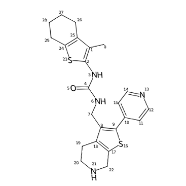 Cc1c(NC(=O)NCc2c(-c3ccncc3)sc3c2CCNC3)sc2c1CCCC2